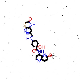 COc1ccc2nccc(NC(=O)[C@]3(O)CC[C@@H](NCc4cc5c(nn4)SCC(=O)N5)CC3)c2n1